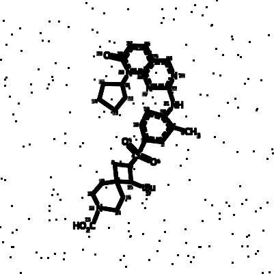 Cc1cc(S(=O)(=O)C2CC3(CCN(C(=O)O)CC3)C2C(C)(C)C)ccc1Nc1ncc2ccc(=O)n(C3CCCC3)c2n1